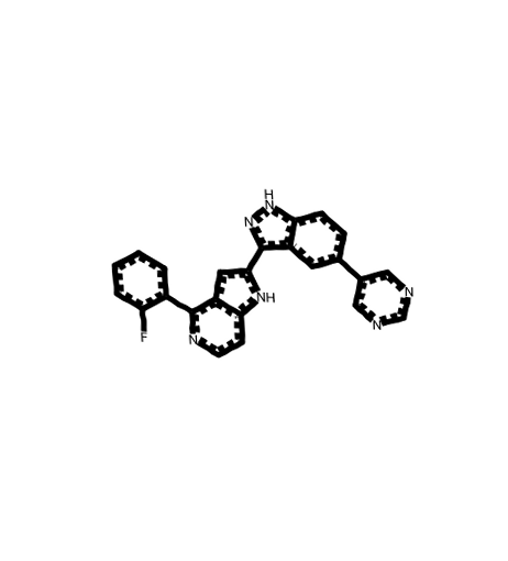 Fc1ccccc1-c1nccc2[nH]c(-c3n[nH]c4ccc(-c5cncnc5)cc34)cc12